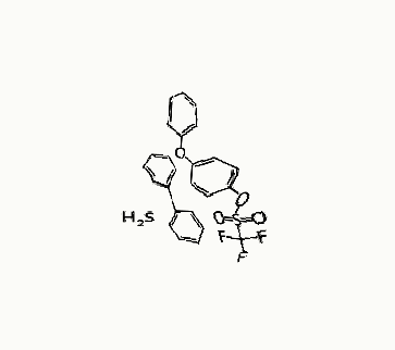 O=S(=O)(Oc1ccc(Oc2ccccc2)cc1)C(F)(F)F.S.c1ccc(-c2ccccc2)cc1